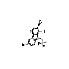 N#Cc1cnc2c3cc(Br)ccc3n(CC(F)(F)F)c2c1Cl